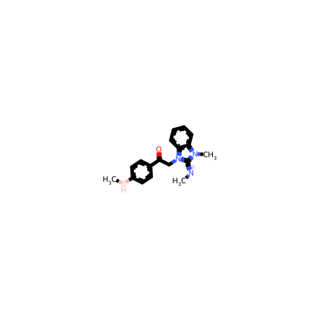 CBc1ccc(C(=O)Cn2/c(=N\C)n(C)c3ccccc32)cc1